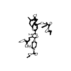 CCOC(=O)N1CCN(C(=O)C(CCC(=O)O)NC(=O)c2cc(OC(C)(C)C(=O)OCC)c3cc(Cl)c(C)cc3n2)CC1